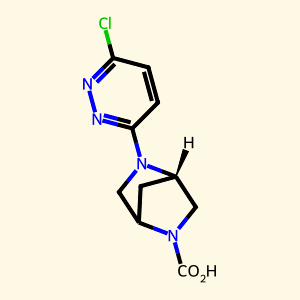 O=C(O)N1C[C@@H]2CC1CN2c1ccc(Cl)nn1